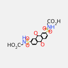 O=C(O)CNS(=O)(=O)c1ccc2c(c1)C(=O)c1cc(S(=O)(=O)NCC(=O)O)ccc1C2=O